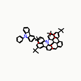 CC(C)(C)c1cc(-c2ccccc2N(c2ccc(-c3ccc4c(c3)c3ccccc3n4-c3ccccc3)cc2)c2ccccc2-c2cccc3cccc(-c4cc(C(C)(C)C)cc(C(C)(C)C)c4)c23)cc(C(C)(C)C)c1